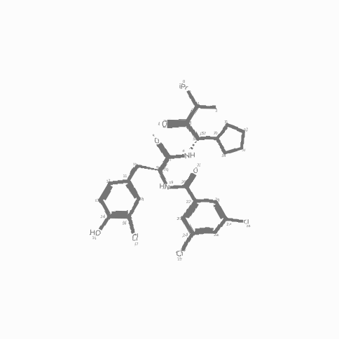 CC(C)C(C)C(=O)[C@@H](NC(=O)[C@H](Cc1ccc(O)c(Cl)c1)NC(=O)c1cc(Cl)cc(Cl)c1)C1CCCC1